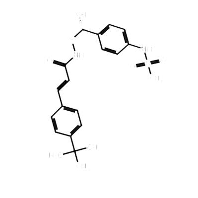 C[C@@H](SNC(=O)/C=C/c1ccc(C(C)(C)C)cc1)c1ccc(NS(C)(=O)=O)cc1